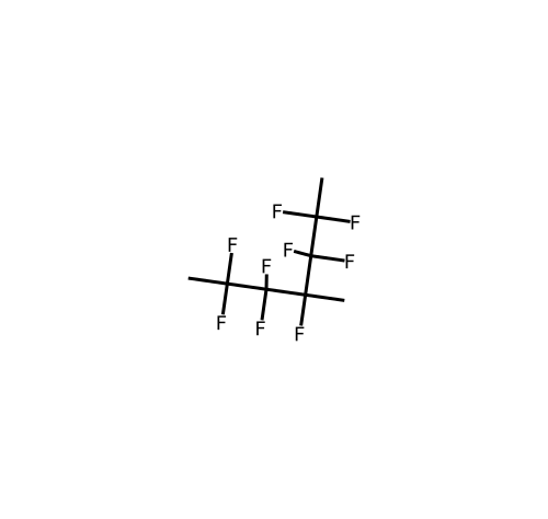 CC(F)(F)C(F)(F)C(C)(F)C(F)(F)C(C)(F)F